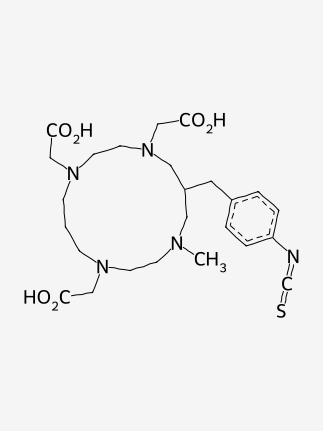 CN1CCN(CC(=O)O)CCCN(CC(=O)O)CCN(CC(=O)O)CC(Cc2ccc(N=C=S)cc2)C1